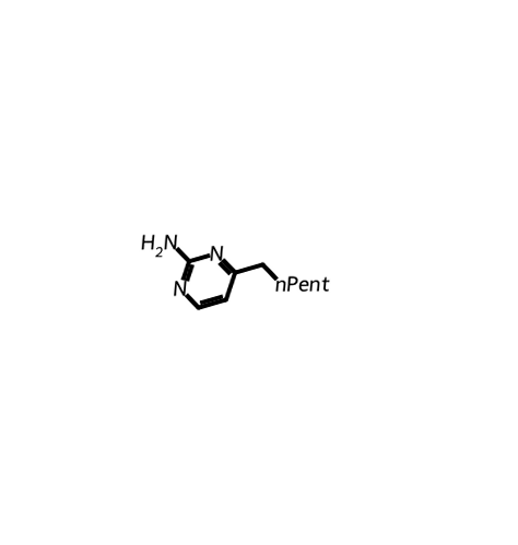 CCCCCCc1ccnc(N)n1